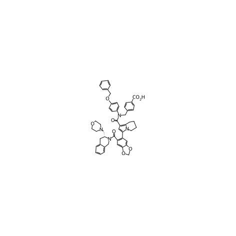 O=C(O)c1ccc(CN(C(=O)c2cc(-c3cc4c(cc3C(=O)N3Cc5ccccc5C[C@@H]3CN3CCOCC3)OCO4)n3c2CCCC3)c2ccc(OCc3ccccc3)cc2)cc1